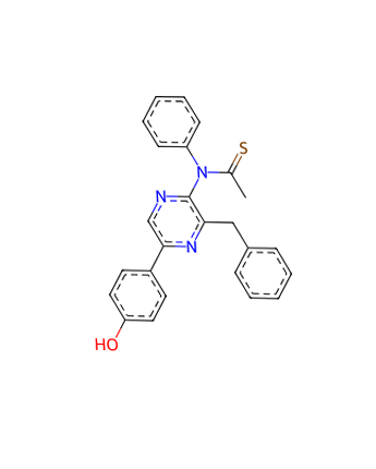 CC(=S)N(c1ccccc1)c1ncc(-c2ccc(O)cc2)nc1Cc1ccccc1